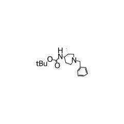 C[C@@H]1CN(Cc2ccccc2)CC[C@@H]1NC(=O)OC(C)(C)C